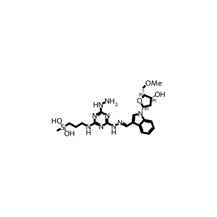 COC[C@H]1O[C@@H](n2cc(C=NNc3nc(NN)nc(NCCC[Si](C)(O)O)n3)c3ccccc32)C[C@H]1O